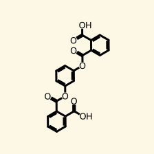 O=C(O)c1ccccc1C(=O)Oc1cccc(OC(=O)c2ccccc2C(=O)O)c1